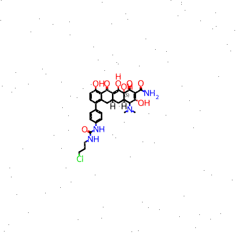 CN(C)C1C(O)=C(C(N)=O)C(=O)[C@@]2(O)C(O)=C3C(=O)c4c(O)ccc(-c5ccc(NC(=O)NCCCCl)cc5)c4C[C@H]3C[C@@H]12